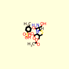 CC(=O)OCC1=C(C(=O)O)N2C(=O)[C@](N)(CO)[C@H]2SC1.Cc1ccc(S(=O)(=O)O)cc1